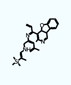 C=C/C(=N/C(=C/C(=C)C)CN/C=C(\C)[Si](C)(C)C)C1=C(C)N=CC2c3ccccc3OC12